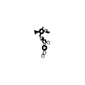 CCOc1cc(CN2CC3(CC(=O)N(c4ccc(OC=O)cc4)C3)C2)c(C2CC2)cc1C